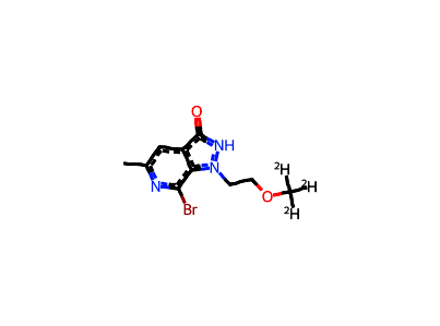 [2H]C([2H])([2H])OCCn1[nH]c(=O)c2cc(C)nc(Br)c21